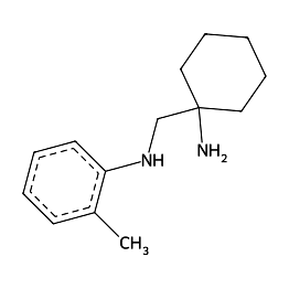 Cc1ccccc1NCC1(N)CCCCC1